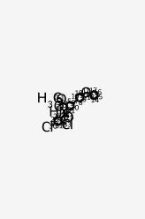 COC(=O)c1cc(-c2ccc(Oc3ccccc3)cc2)ccc1NC(=O)c1ccc(Cl)cc1Cl